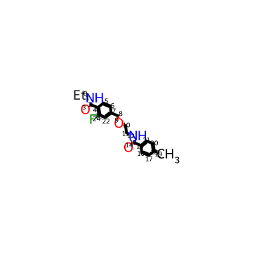 CCNC(=O)c1ccc(COCCNC(=O)c2ccc(C)cc2)cc1F